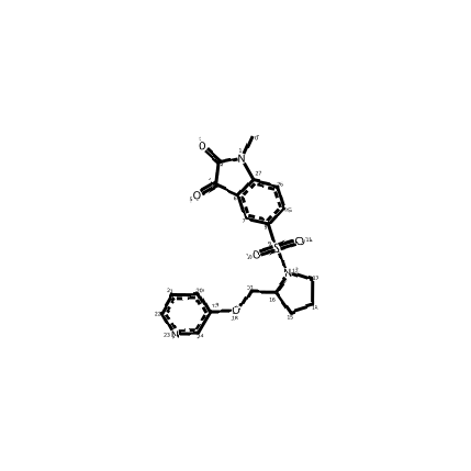 CN1C(=O)C(=O)c2cc(S(=O)(=O)N3CCCC3COc3cccnc3)ccc21